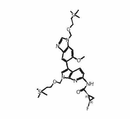 COc1cc2c(cc1-c1cn(COCC[Si](C)(C)C)c3nc(NC(=O)[C@H]4C[C@H]4F)ccc13)ncn2COCC[Si](C)(C)C